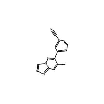 Cc1cc2nncn2nc1-c1cccc(C#N)c1